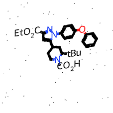 CCOC(=O)c1cc(C2CCN(C(=O)O)C(C(C)(C)C)C2)n(-c2ccc(Oc3ccccc3)cc2)n1